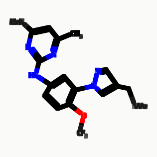 CNCc1cnn(-c2cc(Nc3nc(C)cc(NC)n3)ccc2OC(F)(F)F)c1